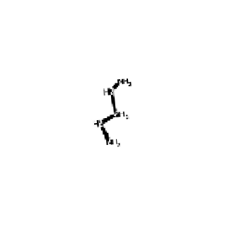 NN[SiH2]NN